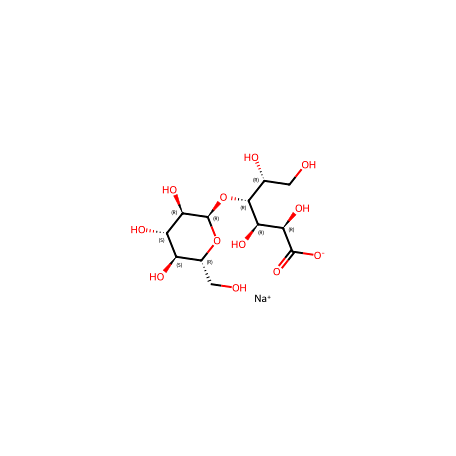 O=C([O-])[C@H](O)[C@@H](O)[C@H](O[C@H]1O[C@H](CO)[C@@H](O)[C@H](O)[C@H]1O)[C@H](O)CO.[Na+]